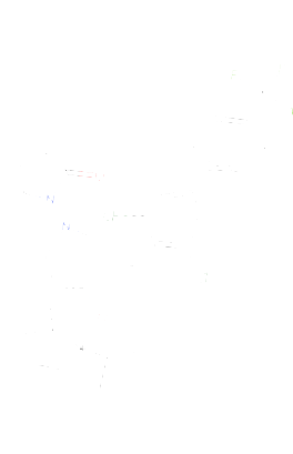 CC(C)[Si](OC1CCN(N2CCCC2=O)CC1Cc1c(Cl)cc(-c2ccc(C(F)(F)F)cc2)cc1Cl)(C(C)C)C(C)C